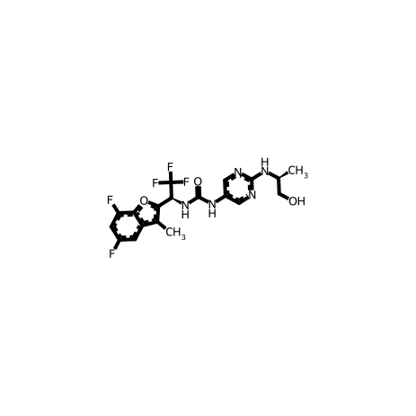 Cc1c([C@H](NC(=O)Nc2cnc(N[C@@H](C)CO)nc2)C(F)(F)F)oc2c(F)cc(F)cc12